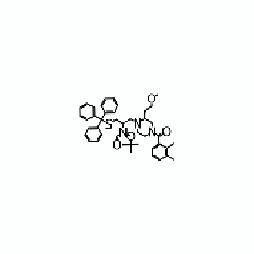 COCC[C@H]1CN(C(=O)c2cccc(C)c2C)CCN1C[C@H](CSC(c1ccccc1)(c1ccccc1)c1ccccc1)N(C=O)OC(C)(C)C